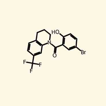 O=C(c1cc(Br)ccc1O)N1CCCc2ccc(C(F)(F)F)cc21